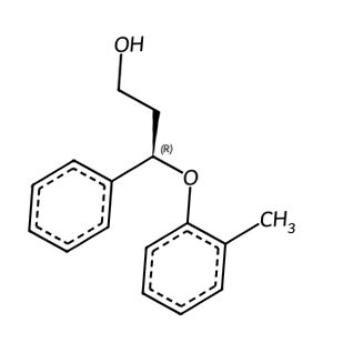 Cc1ccccc1O[C@H](CCO)c1ccccc1